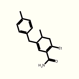 CCC1=C(C(N)=O)C=C(Cc2ccc(C)cc2)C(C)C1